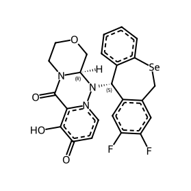 O=C1c2c(O)c(=O)ccn2N([C@H]2c3cc(F)c(F)cc3C[Se]c3ccccc32)[C@@H]2COCCN12